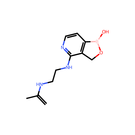 C=C(C)NCCNc1nccc2c1COB2O